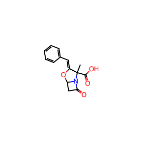 CC1(C(=O)O)C(=Cc2ccccc2)OC2CC(=O)N21